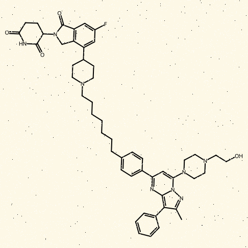 Cc1nn2c(N3CCN(CCO)CC3)cc(-c3ccc(CCCCCCCN4CCC(c5cc(F)cc6c5CN(C5CCC(=O)NC5=O)C6=O)CC4)cc3)nc2c1-c1ccccc1